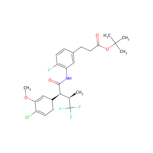 COC1=CC([C@@H](C(=O)Nc2cc(CCC(=O)OC(C)(C)C)ccc2F)[C@@H](C)C(F)(F)F)CC=C1Cl